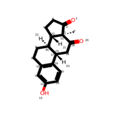 C[C@@]12C(=O)CC[C@H]1[C@@H]1CCc3cc(O)ccc3[C@H]1CC2=O